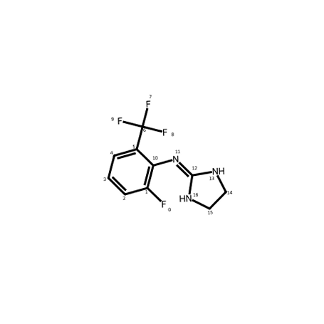 Fc1cccc(C(F)(F)F)c1N=C1NCCN1